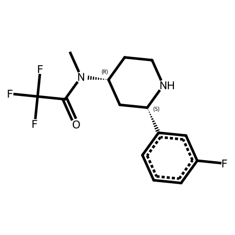 CN(C(=O)C(F)(F)F)[C@@H]1CCN[C@H](c2cccc(F)c2)C1